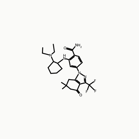 CCN(CC)C1CCCCC1Nc1cc(-n2nc(C(F)(F)F)c3c2CC(C)(C)CC3=O)ccc1C(N)=O